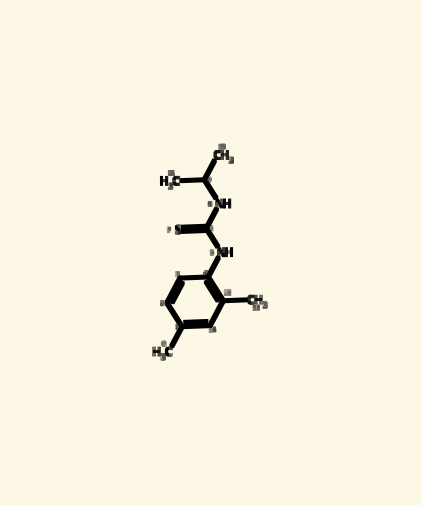 Cc1ccc(NC(=S)NC(C)C)c(C)c1